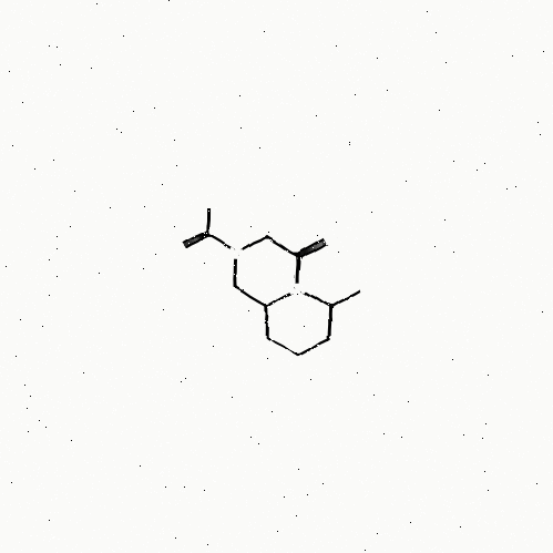 CC1CCCC2CN(C(=O)O)CC(=O)N12